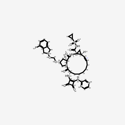 O=C1N[C@]2(C(=O)NS(=O)(=O)C3CC3)C[C@H]2/C=C\CCCCC[C@H](Nc2c(Nc3cnccn3)c(=O)c2=O)C(=O)N2C[C@H](OCON3Cc4cccc(F)c4C3)C[C@@H]12